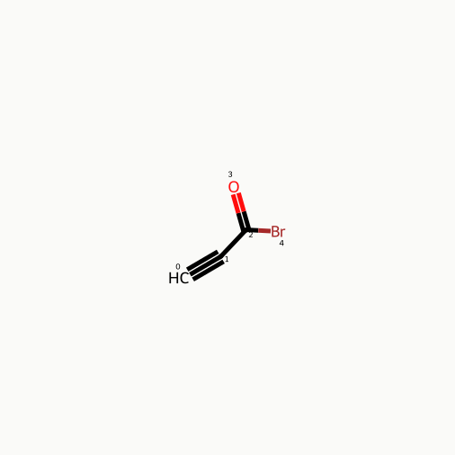 C#CC(=O)Br